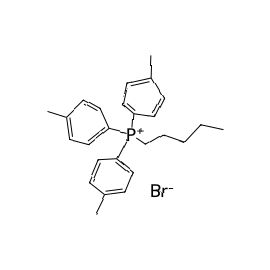 CCCCC[P+](c1ccc(C)cc1)(c1ccc(C)cc1)c1ccc(C)cc1.[Br-]